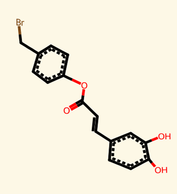 O=C(C=Cc1ccc(O)c(O)c1)Oc1ccc(CBr)cc1